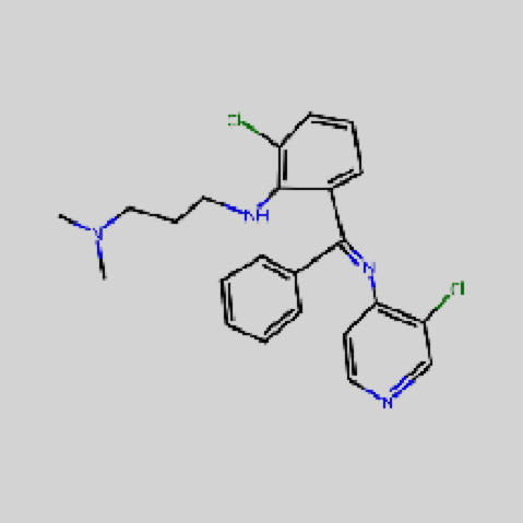 CN(C)CCCNc1c(Cl)cccc1C(=Nc1ccncc1Cl)c1ccccc1